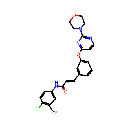 O=C(C=Cc1cccc(Oc2ccnc(N3CCOCC3)n2)c1)Nc1ccc(Cl)c(C(F)(F)F)c1